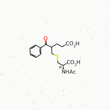 CC(=O)N[C@@H](CSCC(CCC(=O)O)C(=O)c1ccccc1)C(=O)O